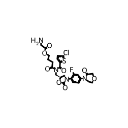 NCC(=O)OCCCC(=O)N(C[C@H]1CN(c2ccc(N3CCOCC3=O)cc2F)C(=O)O1)C(=O)c1ccc(Cl)s1